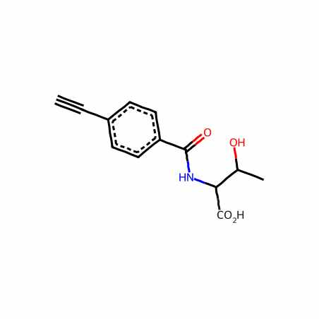 C#Cc1ccc(C(=O)NC(C(=O)O)C(C)O)cc1